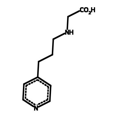 O=C(O)CNCCCc1ccncc1